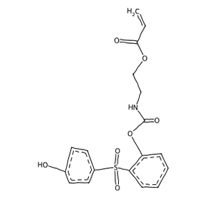 C=CC(=O)OCCNC(=O)Oc1ccccc1S(=O)(=O)c1ccc(O)cc1